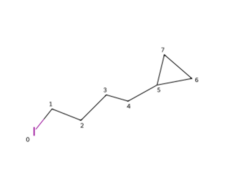 ICCCCC1CC1